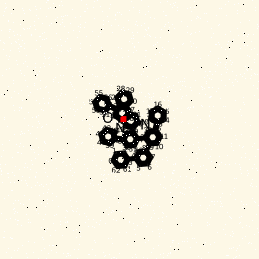 c1ccc(-c2cccc(-c3ccc4c5ccccc5n(-c5cccc(-c6ccccc6)c5)c4c3-c3ccc4c5ccccc5n(-c5cccc6c5oc5ccccc56)c4c3)c2)cc1